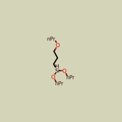 CCCOCCC[SiH](OCCC)OCCC